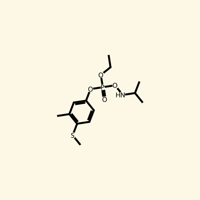 CCOP(=O)(ONC(C)C)Oc1ccc(SC)c(C)c1